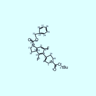 CC(C)(C)OC(=O)N1CC=C(c2c(F)cc3c(c2F)CCN3C(=O)OCc2ccccc2)CC1